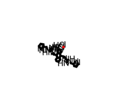 Cl.Cl.Cl.Cl.N=C(NCc1cccnc1)NN=Cc1c2ccccc2c(C=NNC(=N)NCc2cccnc2)c2ccccc12